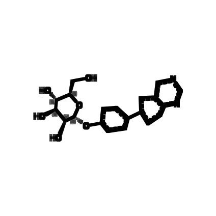 OC[C@H]1O[C@H](Oc2ccc(-c3ccc4ncncc4c3)cc2)[C@@H](O)[C@@H](O)[C@@H]1O